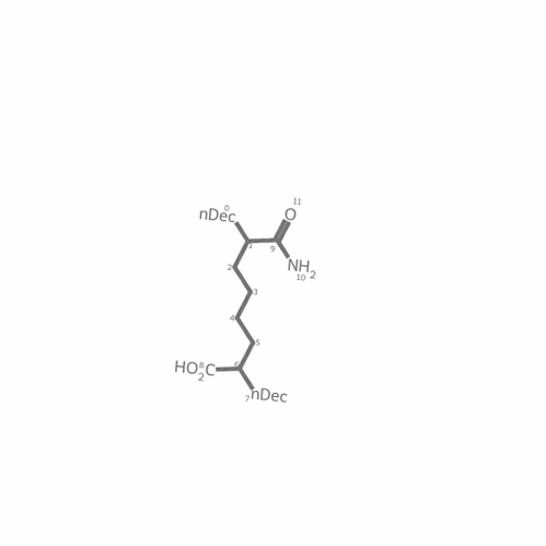 CCCCCCCCCCC(CCCCC(CCCCCCCCCC)C(=O)O)C(N)=O